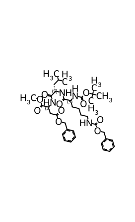 COC(=O)[C@H](CC(=O)OCc1ccccc1)NC(=O)[C@H](CC(C)C)NC(=O)[C@H](CCCCNC(=O)OCc1ccccc1)NC(=O)OC(C)(C)C